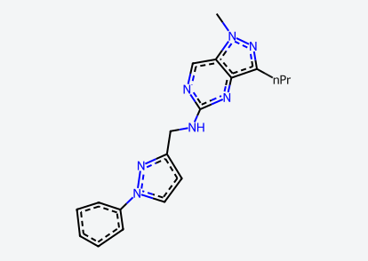 CCCc1nn(C)c2cnc(NCc3ccn(-c4ccccc4)n3)nc12